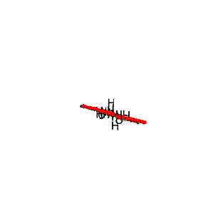 CCCCCCC/C=C/CCCCCCCCC(=O)NCCNCCNCCNCCNC(=O)CCCCCCCC/C=C/CCCCCCC